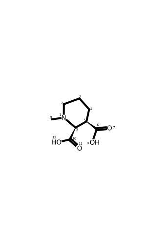 CN1CCC[C@@H](C(=O)O)[C@H]1C(=O)O